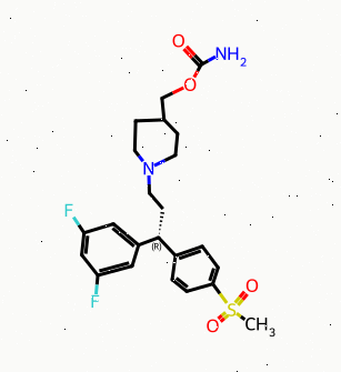 CS(=O)(=O)c1ccc([C@@H](CCN2CCC(COC(N)=O)CC2)c2cc(F)cc(F)c2)cc1